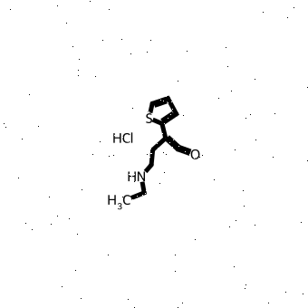 CCNCCC(=C=O)c1cccs1.Cl